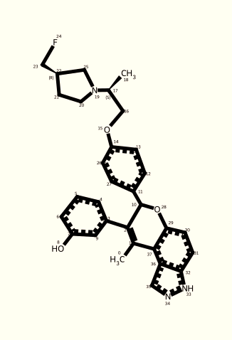 CC1=C(c2cccc(O)c2)C(c2ccc(OC[C@H](C)N3CC[C@@H](CF)C3)cc2)Oc2ccc3[nH]ncc3c21